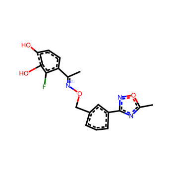 C/C(=N\OCc1cccc(-c2noc(C)n2)c1)c1ccc(O)c(O)c1F